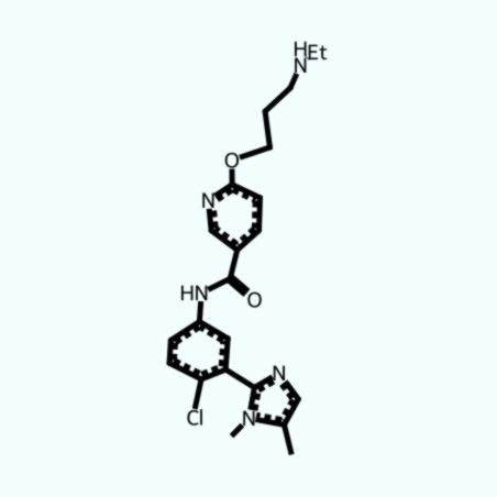 CCNCCCOc1ccc(C(=O)Nc2ccc(Cl)c(-c3ncc(C)n3C)c2)cn1